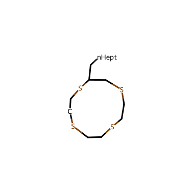 CCCCCCCCC1CSCCSCCSCCS1